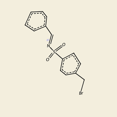 O=S(=O)(/N=C/c1ccccc1)c1ccc(CBr)cc1